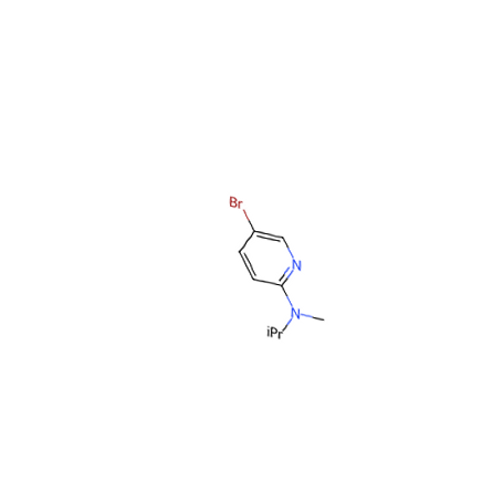 CC(C)N(C)c1ccc(Br)cn1